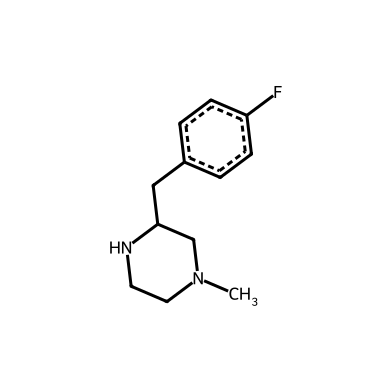 CN1CCNC(Cc2ccc(F)cc2)C1